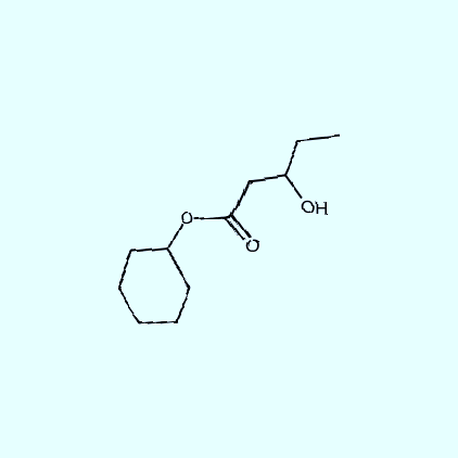 CCC(O)CC(=O)OC1CCCCC1